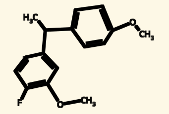 COc1ccc(C(C)c2[c]cc(F)c(OC)c2)cc1